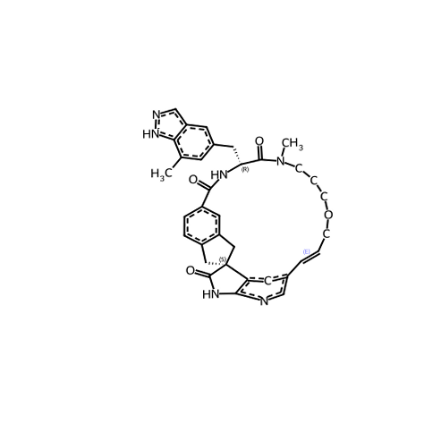 Cc1cc(C[C@H]2NC(=O)c3ccc4c(c3)C[C@]3(C4)C(=O)Nc4ncc(cc43)/C=C/COCCCN(C)C2=O)cc2cn[nH]c12